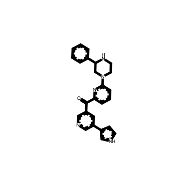 O=C(c1cncc(-c2cc[nH]c2)c1)c1cccc(N2CCNC(c3ccccc3)C2)n1